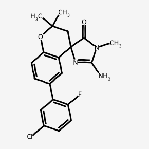 CN1C(=O)C2(CC(C)(C)Oc3ccc(-c4cc(Cl)ccc4F)cc32)N=C1N